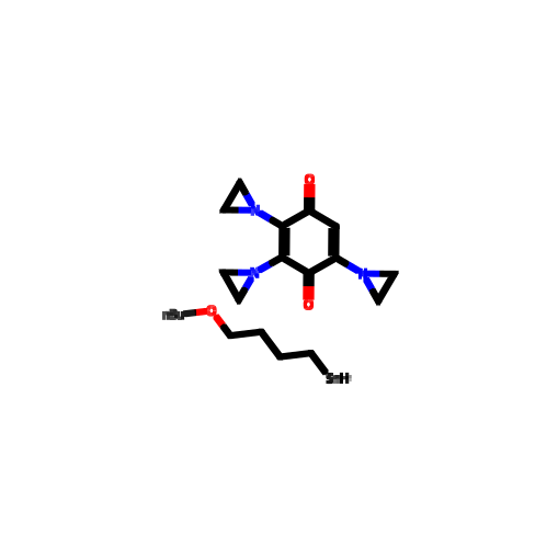 CCCCOCCC[CH2][SnH].O=C1C=C(N2CC2)C(=O)C(N2CC2)=C1N1CC1